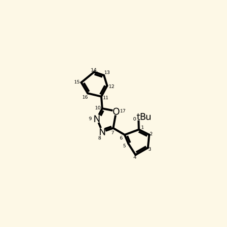 CC(C)(C)c1ccccc1-c1nnc(-c2cc[c]cc2)o1